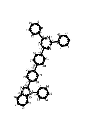 c1ccc(-c2nc(-c3ccccc3)nc(-c3ccc(-c4ccc(-c5nc6ccccc6n5-c5ccccc5)cc4)cc3)n2)cc1